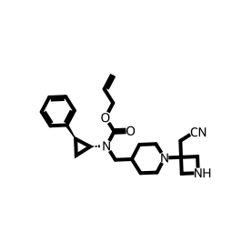 C=CCOC(=O)N(CC1CCN(C2(CC#N)CNC2)CC1)[C@@H]1C[C@H]1c1ccccc1